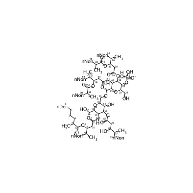 CCCCCCCCCCCCCC(C)C(=O)OC(CC(=O)NC1C(CO)OC(COCC2OC(CO)C(O[P+]([O-])(O)O)C(OC(=O)CC(OC(=O)C(C)CCCCCCCCC)C(C)CCCCCCCCC)C2NC(=O)CC(OC(=O)C(C)CCCCCCCCC)C(C)CCCCCCCCC)C(O)C1OC(=O)CC(O)C(C)CCCCCCCCC)C(C)CCCCCCCCC